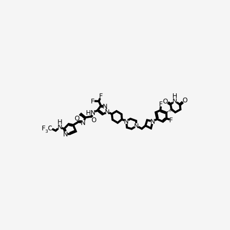 O=C1CC[C@H](c2c(F)cc(N3CC(CN4CCN(C5CCC(n6cc(NC(=O)c7coc(-c8ccnc(NCC(F)(F)F)c8)n7)c(C(F)F)n6)CC5)CC4)C3)cc2F)C(=O)N1